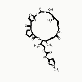 CC1=C\[C@@H](O)C[C@@H](F)Cc2nc(co2)C(=O)N2CCC[C@@H]2C(=O)O[C@H]([C@H](C)COC(=O)Nc2ccn(C)n2)[C@H](C)/C=C/C(=O)NC\C=C\1